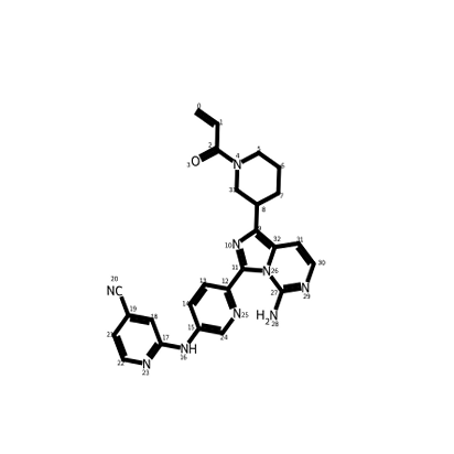 C=CC(=O)N1CCCC(c2nc(-c3ccc(Nc4cc(C#N)ccn4)cn3)n3c(N)nccc23)C1